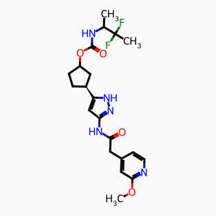 COc1cc(CC(=O)Nc2cc([C@H]3CCC(OC(=O)NC(C)C(C)(F)F)C3)[nH]n2)ccn1